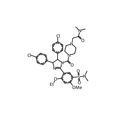 CCOc1cc(OC)c(S(=O)(=O)N(C)C)cc1C1=NC(c2ccc(Cl)cc2)C(c2ccc(Cl)cc2)N1C(=O)N1CCN(CC(=O)N(C)C)CC1